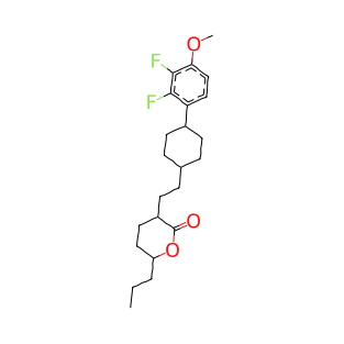 CCCC1CCC(CCC2CCC(c3ccc(OC)c(F)c3F)CC2)C(=O)O1